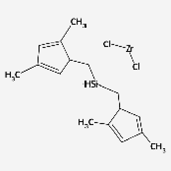 CC1=CC(C[SiH]CC2C=C(C)C=C2C)C(C)=C1.[Cl][Zr][Cl]